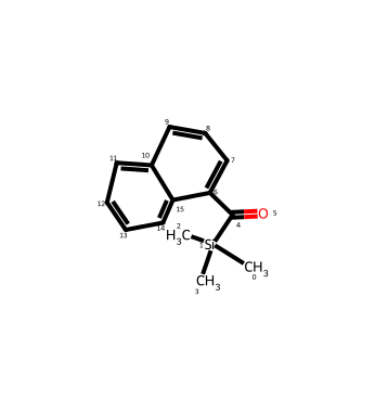 C[Si](C)(C)C(=O)c1cccc2ccccc12